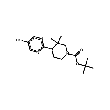 CC(C)(C)OC(=O)N1CCN(c2ncc(O)cn2)C(C)(C)C1